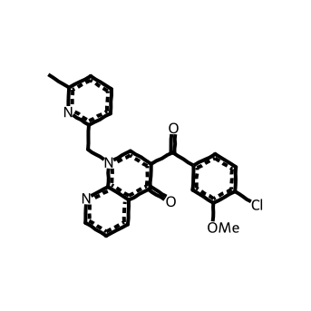 COc1cc(C(=O)c2cn(Cc3cccc(C)n3)c3ncccc3c2=O)ccc1Cl